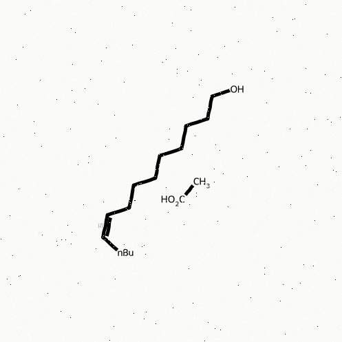 CC(=O)O.CCCC/C=C\CCCCCCCCO